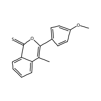 COc1ccc(-c2oc(=S)c3ccccc3c2C)cc1